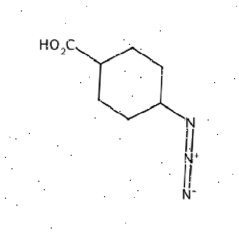 [N-]=[N+]=NC1CCC(C(=O)O)CC1